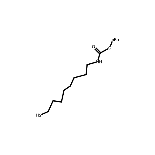 CCCCOC(=O)NCCCCCCCCS